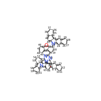 CC12C(c3nc(-c4ccc5ccccc5c4)nc(-c4ccc(-n5c6cc7ccccc7cc6c6c7ccccc7ccc65)c5oc6ccccc6c45)n3)=CC=CC1c1ccccc1N2c1ccccc1